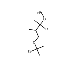 CCCOC(C)(CC)C(C)COC(C)(C)CC